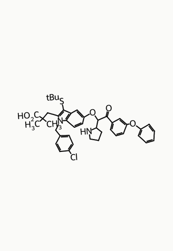 CC(C)(C)Sc1c(CC(C)(C)C(=O)O)n(Cc2ccc(Cl)cc2)c2ccc(OC(C(=O)c3cccc(Oc4ccccc4)c3)C3CCCN3)cc12